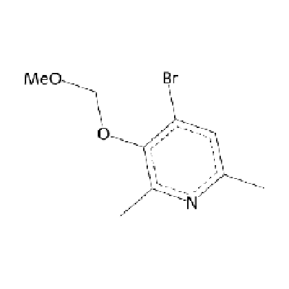 COCOc1c(Br)cc(C)nc1C